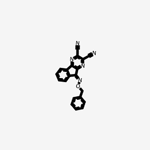 N#Cc1nc2c(nc1C#N)-c1ccccc1/C2=N\OCc1ccccc1